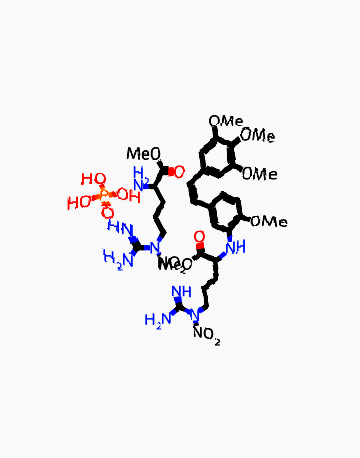 COC(=O)C(CCCN(C(=N)N)[N+](=O)[O-])Nc1cc(/C=C\c2cc(OC)c(OC)c(OC)c2)ccc1OC.COC(=O)C(N)CCCN(C(=N)N)[N+](=O)[O-].O=P(O)(O)O